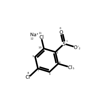 O=S([O-])c1c(Cl)cc(Cl)cc1Cl.[Na+]